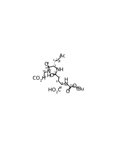 CC(=O)SC[C@H](NC(=O)CC[C@H](NC(=O)OC(C)(C)C)C(=O)O)C(=O)NCC(=O)O